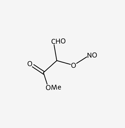 COC(=O)C(C=O)ON=O